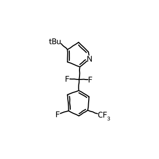 CC(C)(C)c1ccnc(C(F)(F)c2cc(F)cc(C(F)(F)F)c2)c1